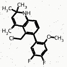 COc1cc(F)c(F)cc1-c1ccc2c(c1CCl)C(C)=CC(C)(C)N2